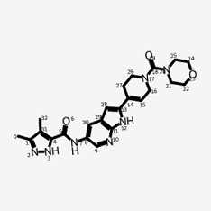 Cc1n[nH]c(C(=O)Nc2cnc3[nH]c(C4=CCN(C(=O)N5CCOCC5)CC4)cc3c2)c1C